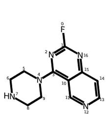 Fc1nc(N2CCNCC2)c2cnccc2n1